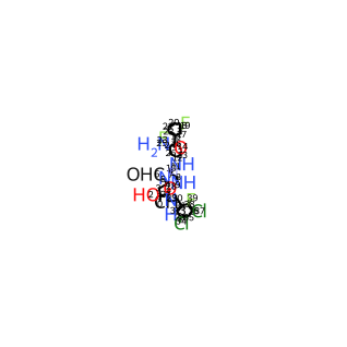 CC(O)(CCN(C=O)/C(C=N)=C/NC1COC(c2cc(F)ccc2F)C(N)C1)C(=O)NCc1cc(Cl)cc(Cl)c1F